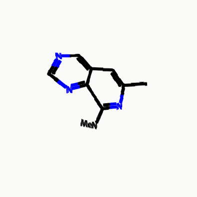 CNc1nc(C)cc2cncnc12